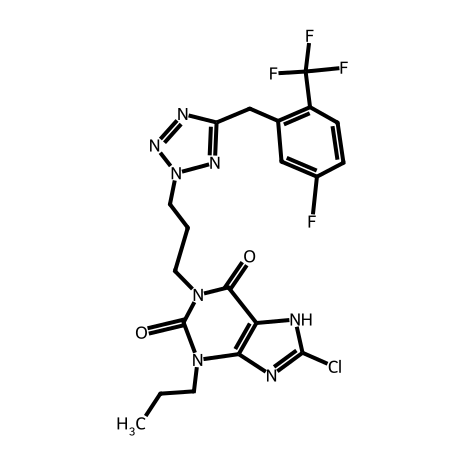 CCCn1c(=O)n(CCCn2nnc(Cc3cc(F)ccc3C(F)(F)F)n2)c(=O)c2[nH]c(Cl)nc21